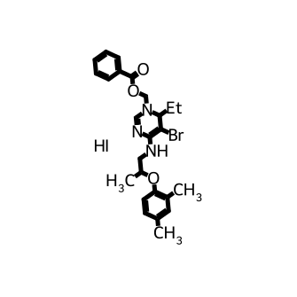 CCC1C(Br)=C(NCC(C)Oc2ccc(C)cc2C)N=CN1COC(=O)c1ccccc1.I